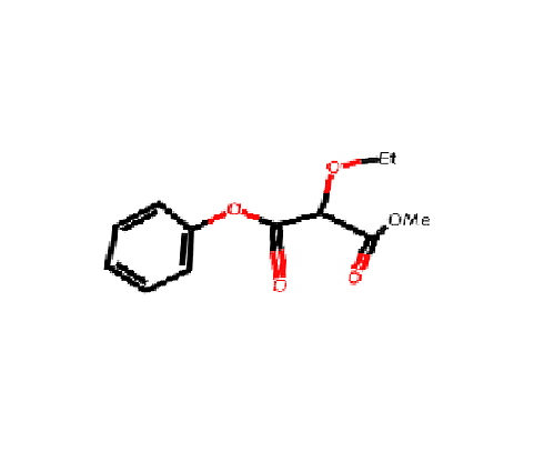 CCOC(C(=O)OC)C(=O)Oc1ccccc1